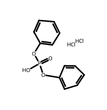 Cl.Cl.O=P(O)(Oc1ccccc1)Oc1ccccc1